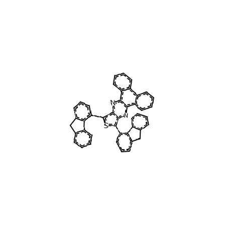 c1ccc2c(c1)Cc1cccc(-c3sc(-c4cccc5c4-c4ccccc4C5)c4nc5c6ccccc6c6ccccc6c5nc34)c1-2